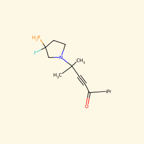 CC(C)C(=O)C#CC(C)(C)N1CCC(F)(P)C1